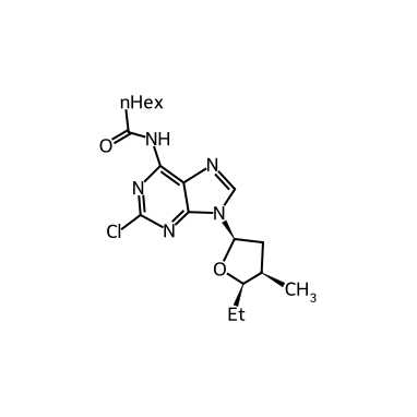 CCCCCCC(=O)Nc1nc(Cl)nc2c1ncn2[C@H]1C[C@@H](C)[C@@H](CC)O1